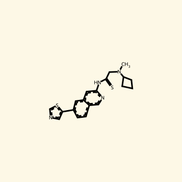 CN(CC(=S)Nc1cc2cc(-c3cncs3)ccc2cn1)C1CCC1